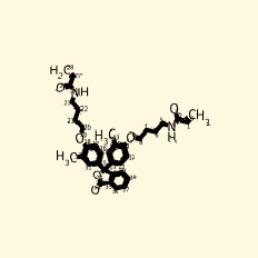 C=CC(=O)NCCCCOc1ccc(C2(c3ccc(OCCCCNC(=O)C=C)c(C)c3)OC(=O)c3ccccc32)cc1C